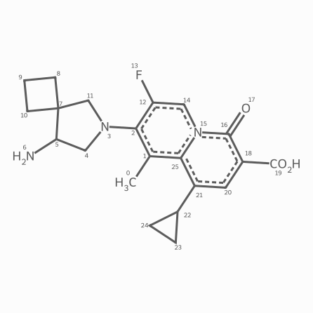 Cc1c(N2CC(N)C3(CCC3)C2)c(F)cn2c(=O)c(C(=O)O)cc(C3CC3)c12